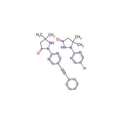 CC1(C)CC(=O)N(c2ncc(C#Cc3ccccc3)cn2)N1.CC1(C)CC(=O)NN1c1ncc(Br)cn1